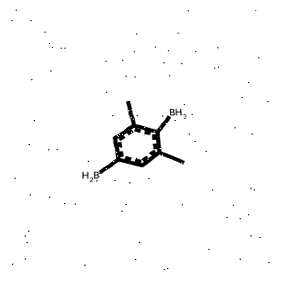 Bc1cc(C)c(B)c(C)c1